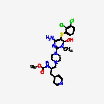 CN1C(N2CCN(C[C@@H](Cc3ccncc3)NC(=O)OC(C)(C)C)CC2)=NC(N)=C(Sc2cccc(Cl)c2Cl)C1O